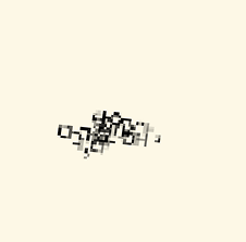 C[C@H]([C@H](C(=O)Nc1cc(C[C@H](C)C(=O)O)ccc1Cl)C1C=CC(Cl)=CC1)C(F)(F)F